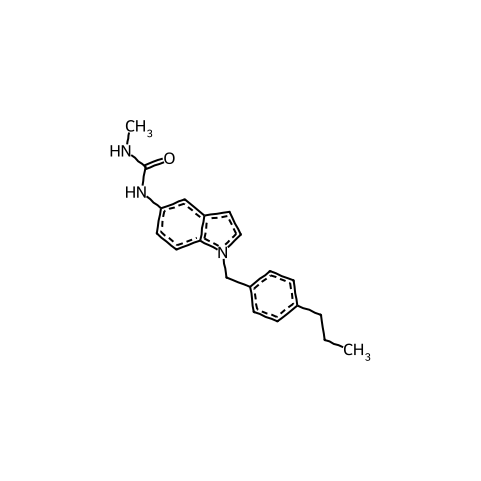 CCCc1ccc(Cn2ccc3cc(NC(=O)NC)ccc32)cc1